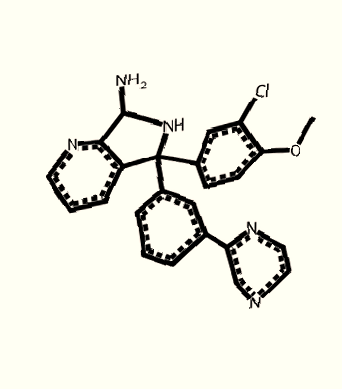 COc1ccc(C2(c3cccc(-c4cnccn4)c3)NC(N)c3ncccc32)cc1Cl